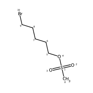 CS(=O)(=O)OCCCCCBr